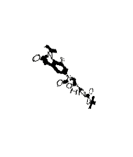 CC(C)N1C(=O)Cc2cc(N3C[C@H](CNC(=O)OC(C)(C)C)OC3=O)cc(F)c21